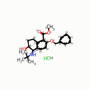 COC(=O)c1c(OCc2ccccc2)ccc2c1CCC(O)C2NC(C)(C)C.Cl